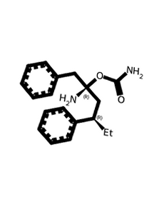 CC[C@H](C[C@](N)(Cc1ccccc1)OC(N)=O)c1ccccc1